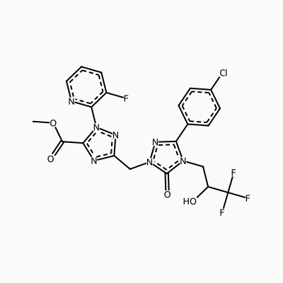 COC(=O)c1nc(Cn2nc(-c3ccc(Cl)cc3)n(CC(O)C(F)(F)F)c2=O)nn1-c1ncccc1F